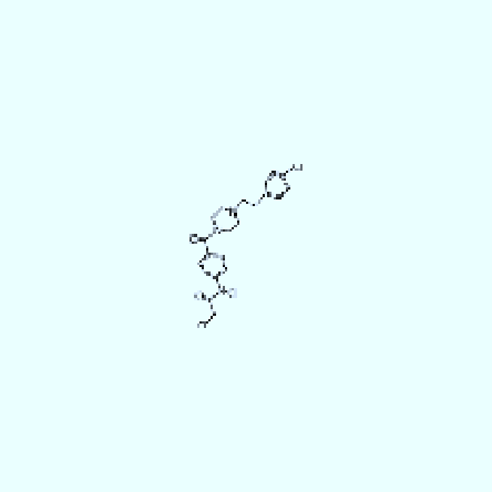 O=C(c1ccc(N(Cl)C(=O)CCl)cc1)N1CCN(CCc2ccc(Cl)cc2)CC1